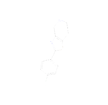 Clc1ccc(-c2nc3c(s2)CCNC3)cc1